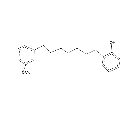 COc1cccc(CCCCCCCc2ccccc2O)c1